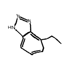 CCc1cccc2[nH]nnc12